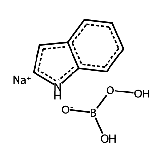 [Na+].[O-]B(O)OO.c1ccc2[nH]ccc2c1